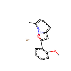 COc1ccccc1-c1cc2cccc(C)[n+]2o1.[Br-]